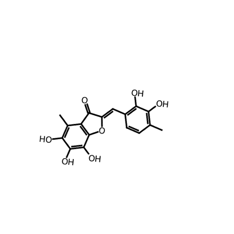 Cc1ccc(/C=C2\Oc3c(O)c(O)c(O)c(C)c3C2=O)c(O)c1O